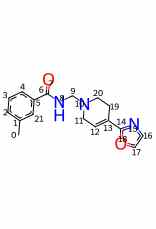 Cc1cccc(C(=O)NCN2CC=C(c3ncco3)CC2)c1